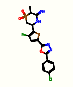 CC1C(=N)NC(c2sc(-c3nnc(-c4ccc(Cl)cc4)o3)cc2F)CS1(=O)=O